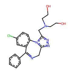 OCCN(CCO)Cc1nnc2n1-c1ccc(Cl)cc1C(c1ccccc1)=NC2